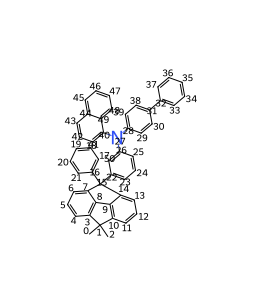 CC1(C)c2cccc3c2-c2c1cccc2C3(c1ccccc1)c1cccc(N(c2ccc(-c3ccccc3)cc2)c2cccc3ccccc23)c1